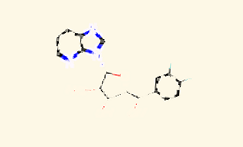 O[C@@H]1[C@H](O)[C@@H]([C@H](O)c2ccc(F)c(F)c2)O[C@H]1n1cnc2cccnc21